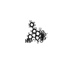 Cc1cc(-c2ccccc2)c2c(c1S(=O)(=O)[O-])c(S(=O)(=O)[O-])c(C)c1cc(-c3ccccc3)ccc12.[Na+].[Na+]